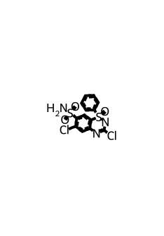 NS(=O)(=O)c1cc2c(cc1Cl)N=C(Cl)N=S2(=O)c1ccccc1